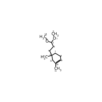 COC(CCC1(C)CCC=C(C)C1)OC